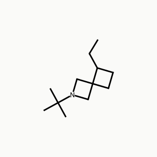 CCC1CCC12CN(C(C)(C)C)C2